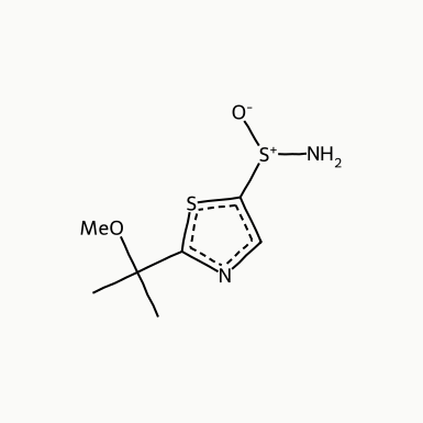 COC(C)(C)c1ncc([S+](N)[O-])s1